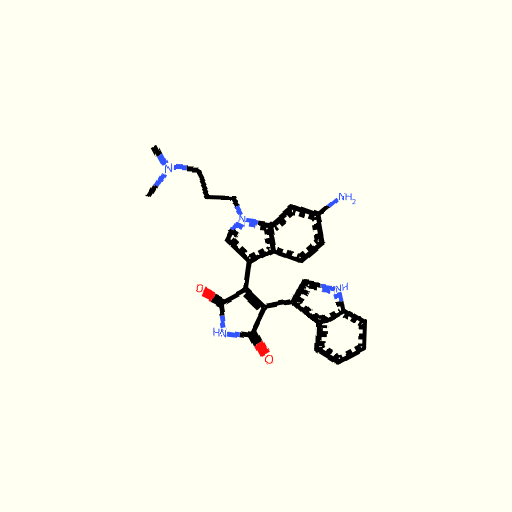 CN(C)CCCn1cc(C2=C(c3c[nH]c4ccccc34)C(=O)NC2=O)c2ccc(N)cc21